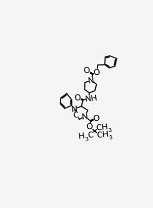 CC(C)(C)OC(=O)N1CCN(c2ccccc2)C(C(=O)NC2CCN(C(=O)OCc3ccccc3)CC2)C1